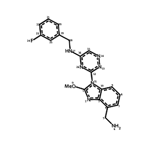 COc1nc2c(CN)cccc2n1-c1nncc(NCc2cccc(F)c2)n1